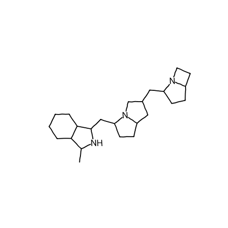 CC1NC(CC2CCC3CC(CC4CCC5CCN54)CN32)C2CCCCC12